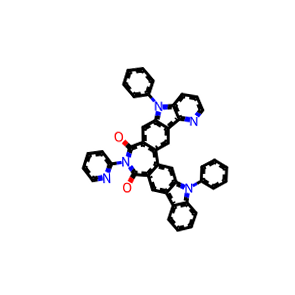 O=c1c2cc3c(cc2c2cc4c(cc2c(=O)n1-c1ccccn1)c1ccccc1n4-c1ccccc1)c1ncccc1n3-c1ccccc1